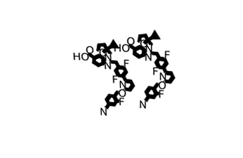 N#Cc1ccc(COc2cccc(-c3cc(F)c(Cc4nc5ccc(C(=O)O)cc5n4CC4(C5CC5)CCCO4)cc3F)n2)c(F)c1.N#Cc1ccc(COc2cccc(-c3cc(F)c(Cc4nc5ccc(C(=O)O)cc5n4CC4(C5CC5)CCCO4)cc3F)n2)c(F)c1